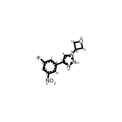 O=[N+]([O-])c1cc(F)cc(-c2cn(C3COC3)nn2)c1